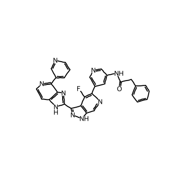 O=C(Cc1ccccc1)Nc1cncc(-c2ncc3[nH]nc(-c4nc5c(-c6cccnc6)nccc5[nH]4)c3c2F)c1